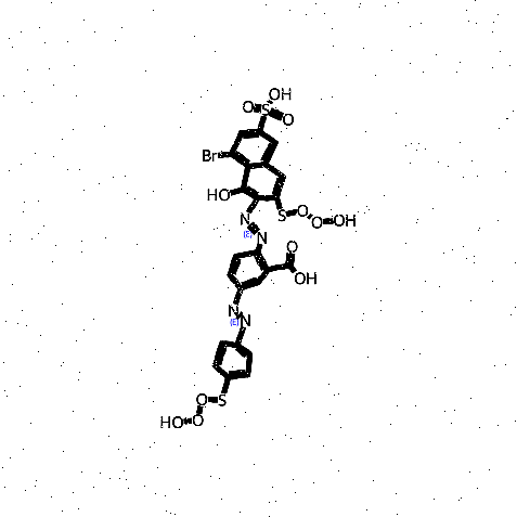 O=C(O)c1cc(/N=N/c2ccc(SOOO)cc2)ccc1/N=N/c1c(SOOO)cc2cc(S(=O)(=O)O)cc(Br)c2c1O